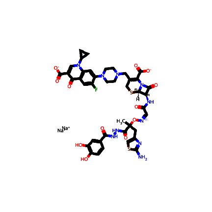 CC(Cc1csc(N)n1)(O/N=C\C(=O)N[C@@H]1C(=O)N2C(C(=O)[O-])=C(CN3CCN(c4cc5c(cc4F)c(=O)c(C(=O)[O-])cn5C4CC4)CC3)CS[C@H]12)C(=O)NNC(=O)c1ccc(O)c(O)c1.[Na+].[Na+]